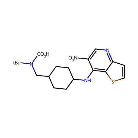 CC(C)(C)N(CC1CCC(Nc2c([N+](=O)[O-])cnc3ccsc23)CC1)C(=O)O